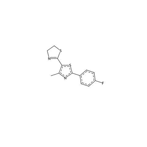 Cc1nc(-c2ccc(F)cc2)sc1C1=NCCS1